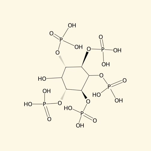 O=P(O)(O)OC1[C@@H](OP(=O)(O)O)[C@H](OP(=O)(O)O)C(O)[C@H](OP(=O)(O)O)[C@H]1OP(=O)(O)O